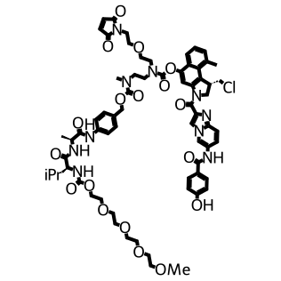 COCCOCCOCCOCCOC(=O)N[C@H](C(=O)N[C@@H](C)C(=O)Nc1ccc(COC(=O)N(C)CCN(CCOCCN2C(=O)C=CC2=O)C(=O)Oc2cc3c(c4c(C)cccc24)[C@H](CCl)CN3C(=O)c2cn3cc(NC(=O)c4ccc(O)cc4)ccc3n2)cc1)C(C)C